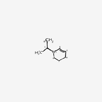 CC(C)N1C=CCCC1